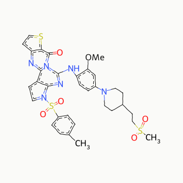 COc1cc(N2CCC(CCS(C)(=O)=O)CC2)ccc1Nc1nc2c(ccn2S(=O)(=O)c2ccc(C)cc2)c2nc3ccsc3c(=O)n12